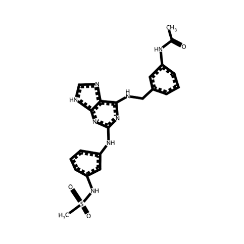 CC(=O)Nc1cccc(CNc2nc(Nc3cccc(NS(C)(=O)=O)c3)nc3[nH]cnc23)c1